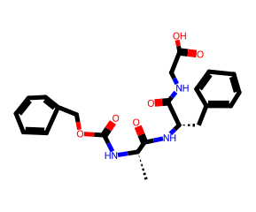 C[C@H](NC(=O)OCc1ccccc1)C(=O)N[C@@H](Cc1ccccc1)C(=O)NCC(=O)O